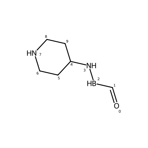 O=CBNC1CCNCC1